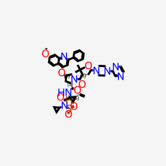 C=C[C@@H]1C[C@]1(NC(=O)[C@@H]1C[C@@H](Oc2cc(-c3ccccc3)nc3cc(OC)ccc23)CN1C(=O)[C@@H](CC(=O)N1CCN(c2cnccn2)CC1)C(C)(C)C)C(=O)N(C1CC1)[SH](=O)=O